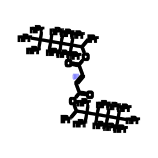 CCCC(CCC)(CCC)C(CCC)(CCC)C(CCC)(CCC)C(CCC)(CCC)C(OC(=O)/C=C/C(=O)OC(C(C)C)C(CCC)(CCC)C(CCC)(CCC)C(CCC)(CCC)C(CCC)(CCC)CCC)C(C)C